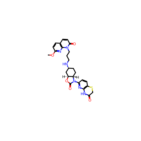 COc1ccc2ccc(=O)n(CCCN[C@H]3CC[C@H]4[C@H](C3)OC(=O)N4c3ccc4c(n3)NC(=O)CS4)c2n1